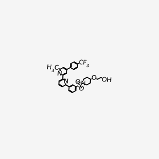 Cc1cc(-c2ccc(C(F)(F)F)cc2)cc(-c2cccc(-c3cccc(S(=O)(=O)N4CCC(OCCO)CC4)c3)n2)n1